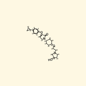 O=C1C(Oc2ccc(C3CC3)cc2)=CCN1[C@H]1CC[C@H](OCCN2CC[C@H](O)C2)CC1